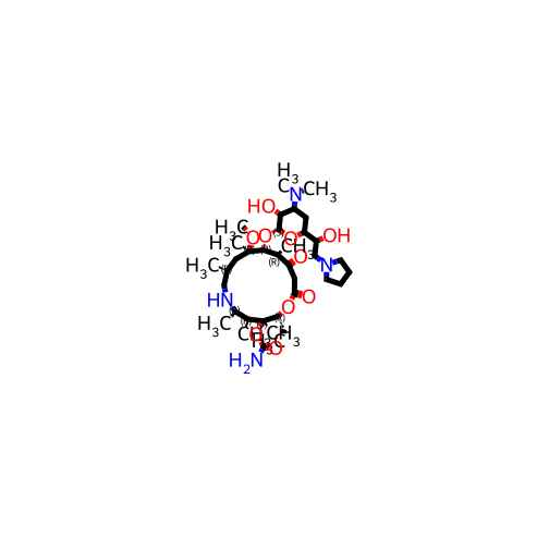 CC[C@H]1OC(=O)CC(=O)[C@H](C)[C@@H](O[C@@H]2OC(C(O)CN3CCCC3)CC(N(C)C)C2O)[C@](C)(OC)C[C@@H](C)CN[C@H](C)[C@@H](C)[C@]1(C)OC(N)=O